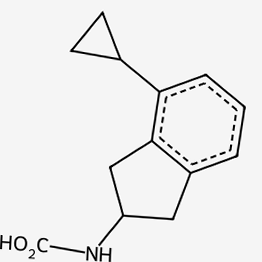 O=C(O)NC1Cc2cccc(C3CC3)c2C1